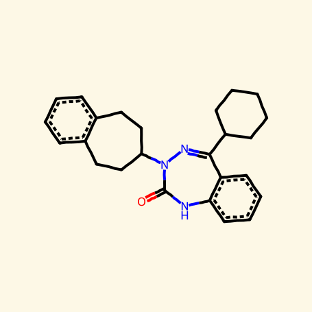 O=C1Nc2ccccc2C(C2CCCCC2)=NN1C1CCc2ccccc2CC1